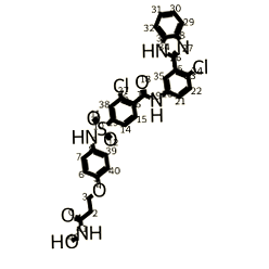 O=C(CCOc1ccc(NS(=O)(=O)c2ccc(C(=O)Nc3ccc(Cl)c(-c4nc5ccccc5[nH]4)c3)c(Cl)c2)cc1)NO